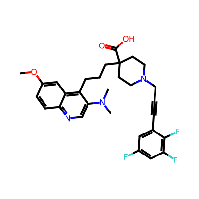 COc1ccc2ncc(N(C)C)c(CCCC3(C(=O)O)CCN(CC#Cc4cc(F)cc(F)c4F)CC3)c2c1